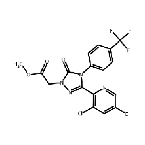 COC(=O)Cn1nc(-c2ncc(Cl)cc2Cl)n(-c2ccc(C(F)(F)F)cc2)c1=O